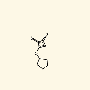 S=c1cc(OC2CCCC2)c1=S